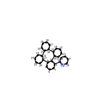 c1ccc(-c2cccc3c2-c2ccccc2-c2ccccc2-c2ccccc2-3)nc1